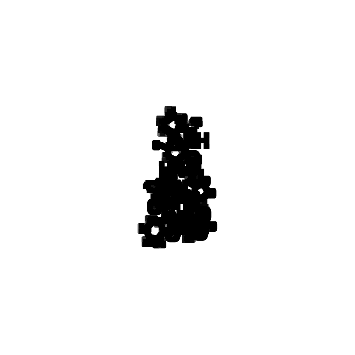 CCC[C@H](NC(=O)[C@@H]1[C@H]2CCC[C@H]2CN1C(=O)[C@@H](NC(=O)[C@@H](NC(=O)[C@@H](C)NS(C)(=O)=O)C1CCCCC1)C(C)(C)C)C(=O)C(=O)N[C@@H](C)c1ccccc1